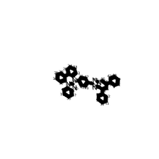 c1ccc(-c2cc(-c3ccccc3)c3nc(-c4ccc(N5c6ccccc6-c6ccccc6-n6c5nc5ccccc56)cc4)nn3c2)cc1